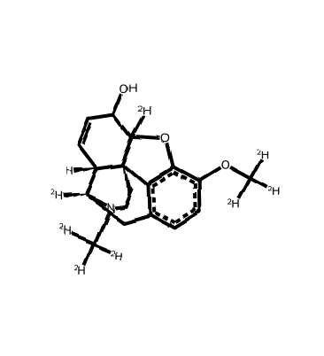 [2H]C([2H])([2H])Oc1ccc2c3c1OC1([2H])C(O)C=C[C@H]4[C@@]([2H])(C2)N(C([2H])([2H])[2H])CC[C@@]341